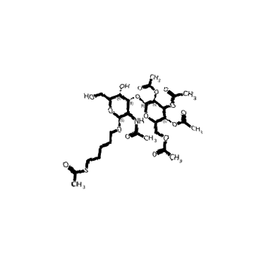 CC(=O)NC1[C@@H](OCCCCCSC(C)=O)OC(CO)[C@H](O)[C@@H]1O[C@@H]1OC(COC(C)=O)[C@H](OC(C)=O)C(OC(C)=O)[C@@H]1OC(C)=O